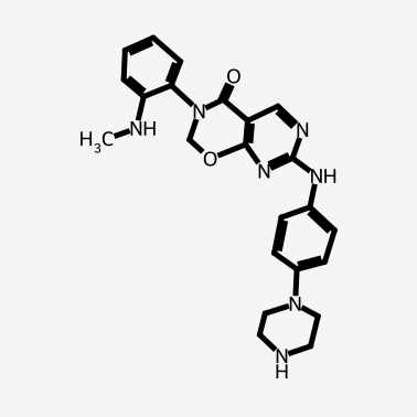 CNc1ccccc1N1COc2nc(Nc3ccc(N4CCNCC4)cc3)ncc2C1=O